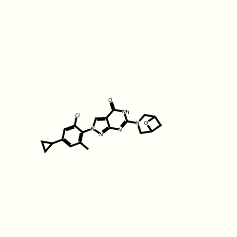 Cc1cc(C2CC2)cc(Cl)c1-n1cc2c(=O)[nH]c(N3CC4CC(C3)O4)nc2n1